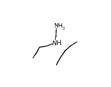 CCC.CCNN